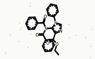 CCOC(=O)c1ncn(-c2ccccc2)c1N(C(=O)c1ccccc1)C(=O)c1ccccc1